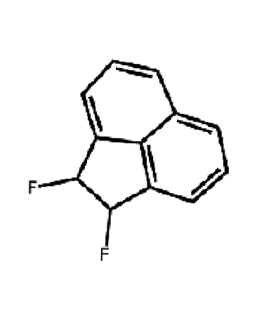 FC1c2cccc3cccc(c23)C1F